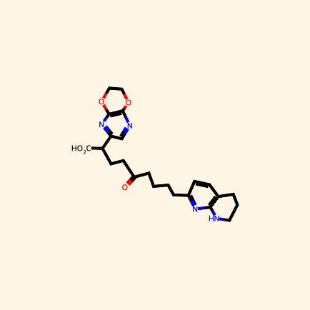 O=C(CCCCc1ccc2c(n1)NCCC2)CCC(C(=O)O)c1cnc2c(n1)OCCO2